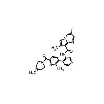 Cc1nc(C(=O)N2CCN(C)CC2)ccc1-c1ccncc1NC(=O)c1c(N)nn2cc(F)cnc12